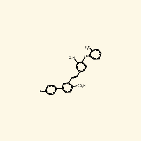 O=C(O)c1ccc(-c2ccc(F)cc2)cc1/C=C/c1ccc(Oc2ccccc2C(F)(F)F)c([N+](=O)[O-])c1